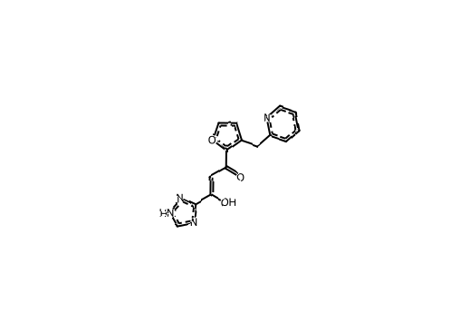 O=C(C=C(O)c1nc[nH]n1)c1occc1Cc1ccccn1